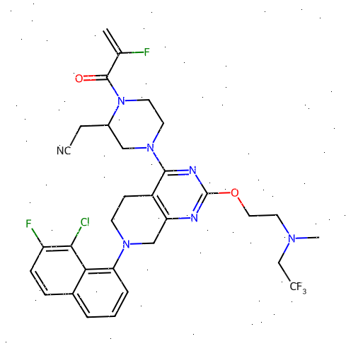 C=C(F)C(=O)N1CCN(c2nc(OCCN(C)CC(F)(F)F)nc3c2CCN(c2cccc4ccc(F)c(Cl)c24)C3)CC1CC#N